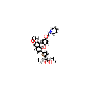 COc1ccc2c(Oc3ccc(OCCN4CCCCC4)cc3)c(-c3ccc(C(C)(C)O)s3)ccc2c1